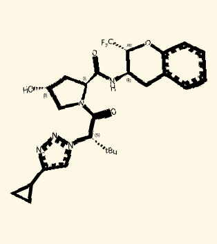 CC(C)(C)[C@@H](C(=O)N1C[C@H](O)C[C@H]1C(=O)N[C@@H]1Cc2ccccc2O[C@H]1C(F)(F)F)n1cc(C2CC2)nn1